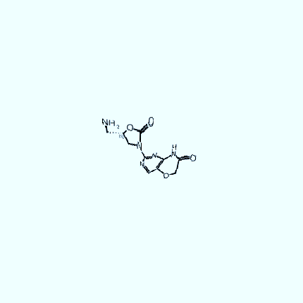 NC[C@H]1CN(c2ncc3c(n2)NC(=O)CO3)C(=O)O1